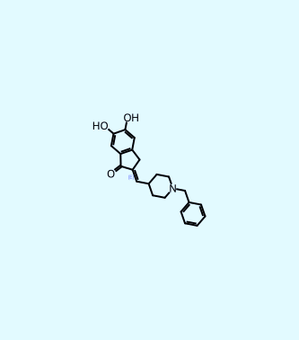 O=C1/C(=C/C2CCN(Cc3ccccc3)CC2)Cc2cc(O)c(O)cc21